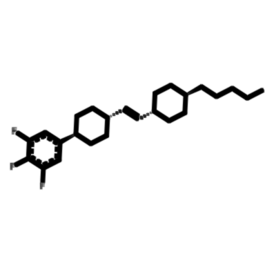 CCCCC[C@H]1CC[C@H](C=C[C@H]2CC[C@H](c3cc(F)c(F)c(F)c3)CC2)CC1